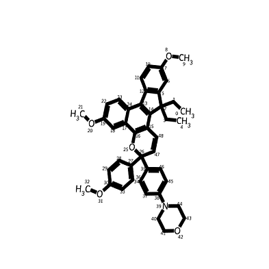 CCC1(CC)c2cc(OC)ccc2-c2c1c1c(c3cc(OC)ccc23)OC(c2ccc(OC)cc2)(c2ccc(N3CCOCC3)cc2)C=C1